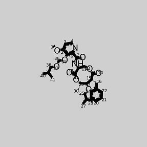 COc1ccnc(C(=O)N[C@H]2COC(=O)[C@H](Cc3ccccc3)[C@@H](OCC(C)C)[C@H](C)OC2=O)c1OCOCC(C)C